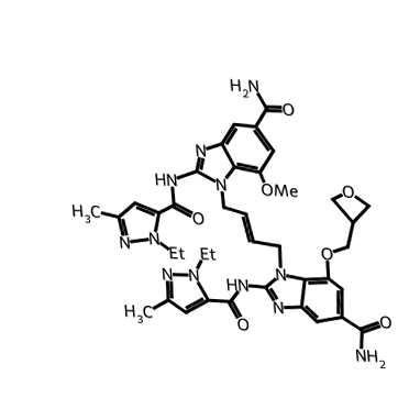 CCn1nc(C)cc1C(=O)Nc1nc2cc(C(N)=O)cc(OC)c2n1C/C=C/Cn1c(NC(=O)c2cc(C)nn2CC)nc2cc(C(N)=O)cc(OCC3COC3)c21